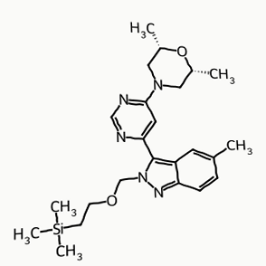 Cc1ccc2nn(COCC[Si](C)(C)C)c(-c3cc(N4C[C@@H](C)O[C@@H](C)C4)ncn3)c2c1